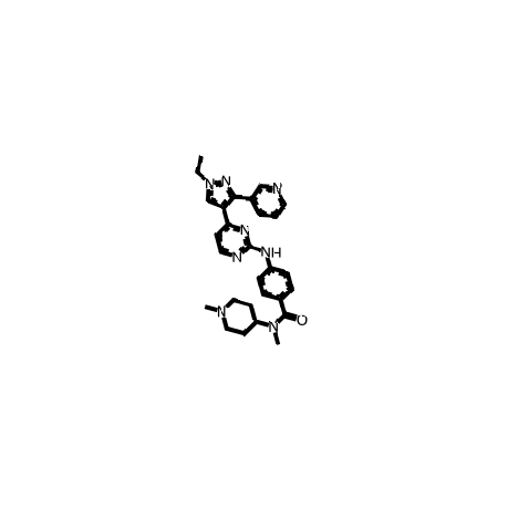 CCn1cc(-c2ccnc(Nc3ccc(C(=O)N(C)C4CCN(C)CC4)cc3)n2)c(-c2cccnc2)n1